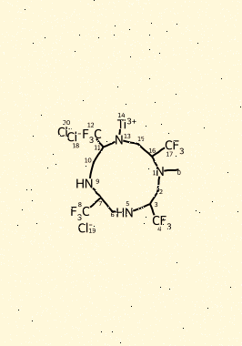 CN1CC(C(F)(F)F)NCC(C(F)(F)F)NCC(C(F)(F)F)[N]([Ti+3])CC1C(F)(F)F.[Cl-].[Cl-].[Cl-]